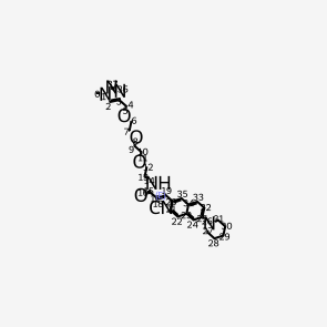 Cn1cc(COCCOCCOCCNC(=O)/C(C#N)=C/c2ccc3cc(N4CCCCC4)ccc3c2)nn1